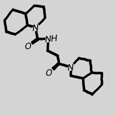 O=C(CCNC(=O)N1CCCC2CCCCC21)N1CCC2CCCCC2C1